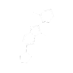 Nc1ncccc1-c1nc2ccc(C3CCOC3)nc2n1O